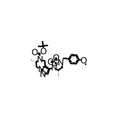 COc1ccc(CN2C[C@H](C)N(c3cnn4c3CN(C(=O)OC(C)(C)C)[C@@H](C)C4)S2(=O)=O)cc1